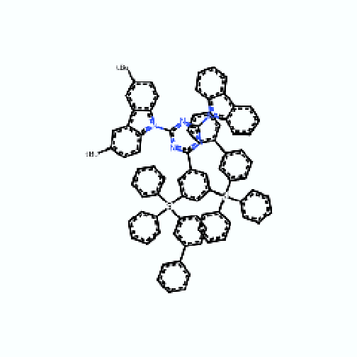 CC(C)(C)c1ccc2c(c1)c1cc(C(C)(C)C)ccc1n2-c1nc(-c2cc([Si](c3ccccc3)(c3ccccc3)c3cccc(-c4ccccc4)c3)cc([Si](c3ccccc3)(c3ccccc3)c3cccc(-c4ccccc4)c3)c2)nc(-n2c3ccccc3c3ccccc32)n1